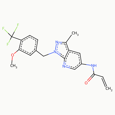 C=CC(=O)Nc1cnc2c(c1)c(C)nn2Cc1ccc(C(F)(F)F)c(OC)c1